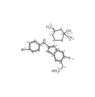 CC(C)c1ccc(Nc2nc3cc(CC(=O)O)c(F)cc3n2[C@@H]2C[C@@H](C)CC(C)(C)C2)cc1